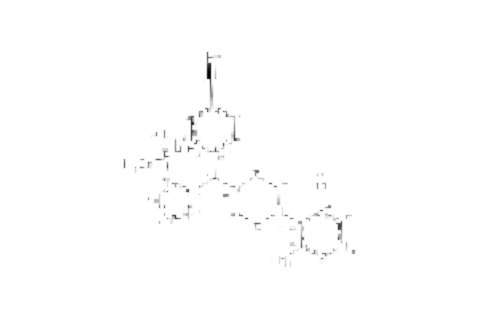 CC(C)(C)n1nnnc1C(c1ccc(C#N)cc1)N1CCN(c2c(Cl)cncc2Cl)CC1